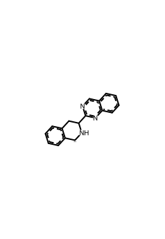 [C]1NC(c2ncc3ccccc3n2)Cc2ccccc21